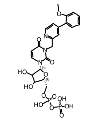 COc1ccccc1-c1ccnc(Cn2c(=O)ccn([C@@H]3O[C@H](COP(=O)(O)OP(=O)(O)O)C(O)C3O)c2=O)c1